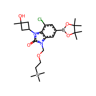 CC1(O)CC(n2c(=O)n(COCC[Si](C)(C)C)c3cc(B4OC(C)(C)C(C)(C)O4)cc(Cl)c32)C1